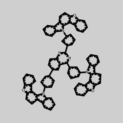 c1cc(-c2nc(-c3cccc(-n4c5ccccc5c5ccc6oc7ccccc7c6c54)c3)c3cc(-c4ccc(-n5c6ccccc6c6ccc7oc8ccccc8c7c65)cc4)ccc3n2)cc(-n2c3ccccc3c3ccc4oc5ccccc5c4c32)c1